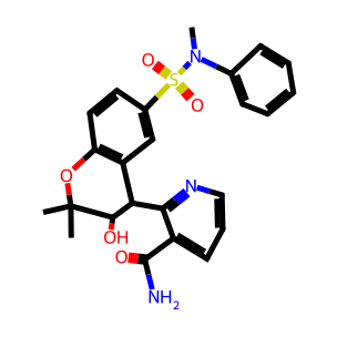 CN(c1ccccc1)S(=O)(=O)c1ccc2c(c1)C(c1ncccc1C(N)=O)C(O)C(C)(C)O2